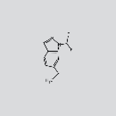 CCc1ccc2cnn(C(F)F)c2c1